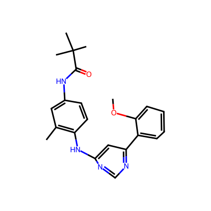 COc1ccccc1-c1cc(Nc2ccc(NC(=O)C(C)(C)C)cc2C)ncn1